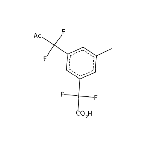 CC(=O)C(F)(F)c1cc(C)cc(C(F)(F)C(=O)O)c1